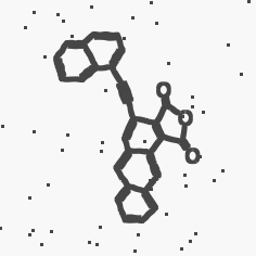 O=C1OC(=O)c2c1c(C#Cc1cccc3ccccc13)cc1cc3ccccc3cc21